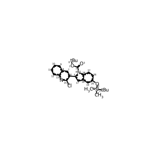 CC(C)(C)OC(=O)n1c(-c2cc3ccccc3nc2Cl)cc2cc(O[Si](C)(C)C(C)(C)C)ccc21